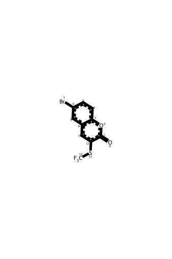 O=c1oc2ccc(Br)cc2cc1SC(F)(F)F